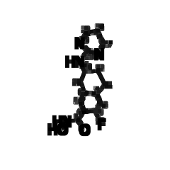 O=C(NO)c1cc2c(cc1F)CCC(Nc1ncccn1)C2